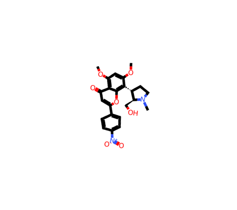 COc1cc(OC)c2c(=O)cc(-c3ccc([N+](=O)[O-])cc3)oc2c1[C@@H]1CCN(C)[C@H]1CO